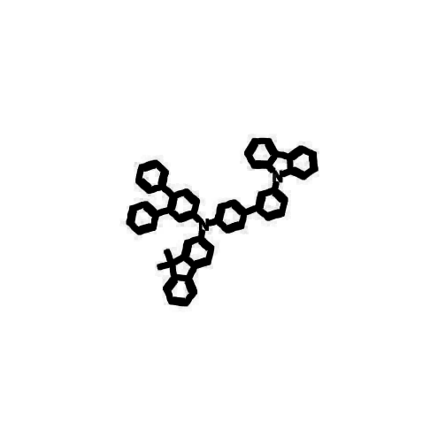 CC1(C)c2ccccc2-c2ccc(N(c3ccc(-c4cccc(-n5c6ccccc6c6ccccc65)c4)cc3)c3ccc(-c4ccccc4)c(-c4ccccc4)c3)cc21